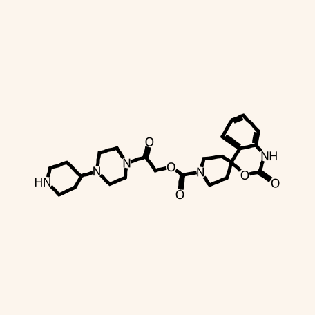 O=C1Nc2ccccc2C2(CCN(C(=O)OCC(=O)N3CCN(C4CCNCC4)CC3)CC2)O1